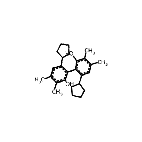 Cc1cc(C2CCCC2)c(-c2c(C3CCCC3)cc(C)c(C)c2O)c(O)c1C